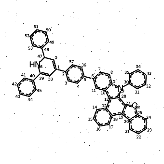 C1=C(c2ccc(-c3ccc4c(c3)c3c5ccccc5c5c6ccccc6oc5c3n4-c3ccccc3)cc2)C=C(c2ccccc2)NC1c1ccccc1